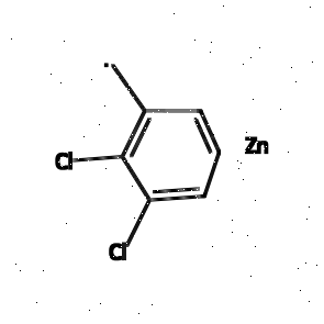 [CH2]c1cccc(Cl)c1Cl.[Zn]